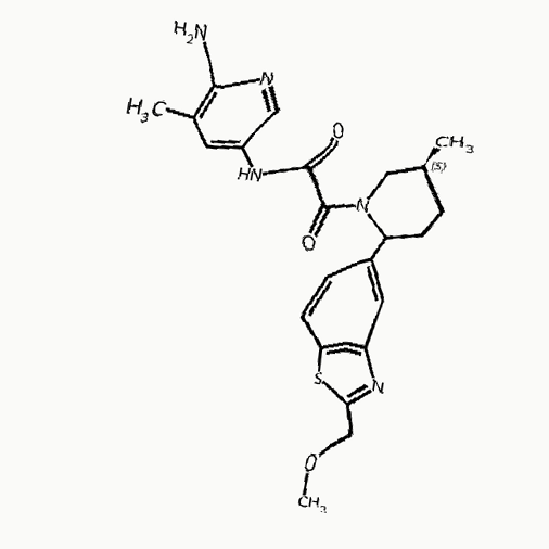 COCc1nc2cc(C3CC[C@H](C)CN3C(=O)C(=O)Nc3cnc(N)c(C)c3)ccc2s1